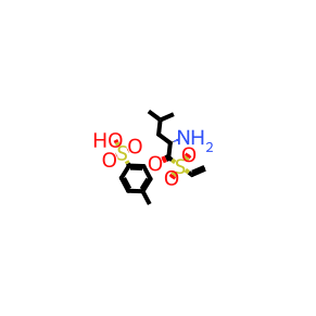 C=CS(=O)(=O)C(=O)[C@@H](N)CC(C)C.Cc1ccc(S(=O)(=O)O)cc1